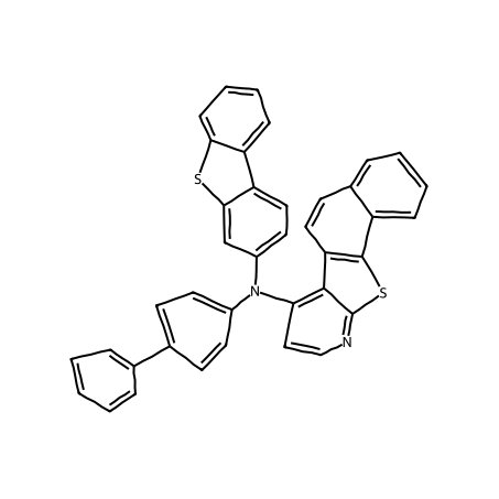 c1ccc(-c2ccc(N(c3ccc4c(c3)sc3ccccc34)c3ccnc4sc5c6ccccc6ccc5c34)cc2)cc1